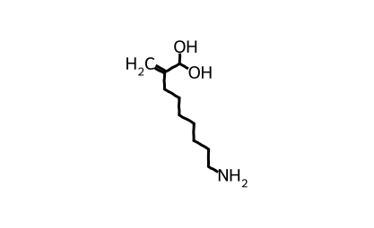 C=C(CCCCCCCN)C(O)O